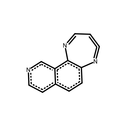 C1=CC=Nc2c(ccc3ccncc23)N=1